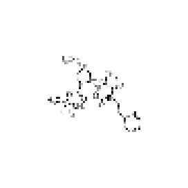 CO[C@@H]1C[C@@H]([C@H](OC)[C@@H](C)C(=O)NCCc2ccccn2)N(C(=O)OC(C)(C)C)C1